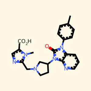 Cc1ccc(-n2c(=O)n(C3CCN(Cc4ncc(C(=O)O)n4C)C3)c3ncccc32)cc1